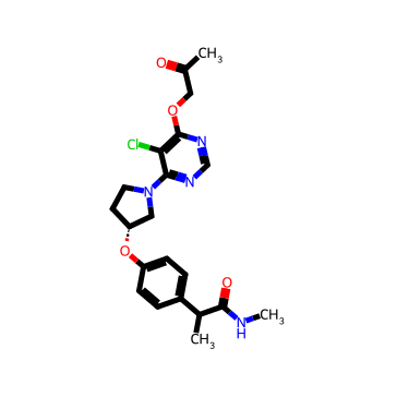 CNC(=O)C(C)c1ccc(O[C@@H]2CCN(c3ncnc(OCC(C)=O)c3Cl)C2)cc1